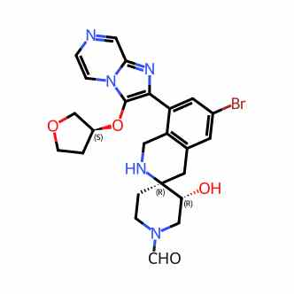 O=CN1CC[C@]2(Cc3cc(Br)cc(-c4nc5cnccn5c4O[C@H]4CCOC4)c3CN2)[C@H](O)C1